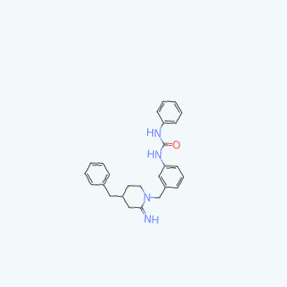 N=C1CC(Cc2ccccc2)CCN1Cc1cccc(NC(=O)Nc2ccccc2)c1